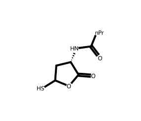 CCCC(=O)N[C@H]1CC(S)OC1=O